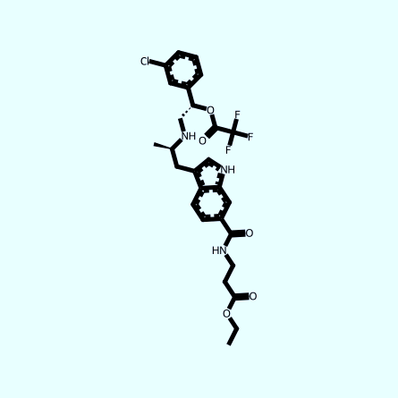 CCOC(=O)CCNC(=O)c1ccc2c(C[C@@H](C)NC[C@@H](OC(=O)C(F)(F)F)c3cccc(Cl)c3)c[nH]c2c1